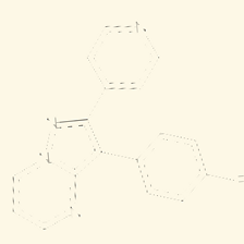 Fc1ccc(-c2c(-c3ccncc3)nn3cccnc23)cc1